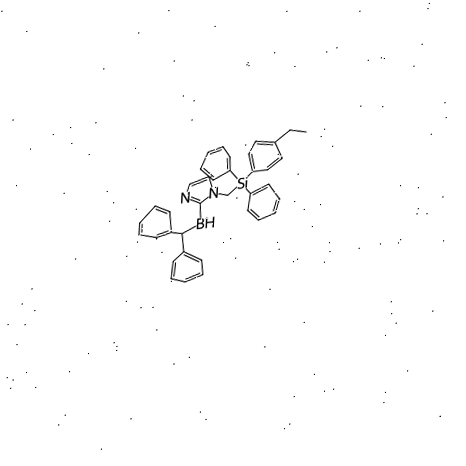 CCc1ccc([Si](Cn2ccnc2BC(c2ccccc2)c2ccccc2)(c2ccccc2)c2ccccc2)cc1